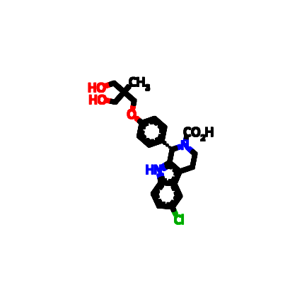 CC(CO)(CO)COc1ccc([C@H]2c3[nH]c4ccc(Cl)cc4c3CCN2C(=O)O)cc1